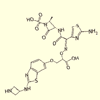 C[C@H]1[C@H](NC(=O)/C(=N\OC(COc2ccc3nc(NC4CNC4)sc3c2)C(=O)O)c2csc(N)n2)C(=O)N1S(=O)(=O)O